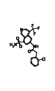 NS(=O)(=O)c1cc(NC(=O)Cc2ccccc2Cl)cc2c(C(F)(F)F)cncc12